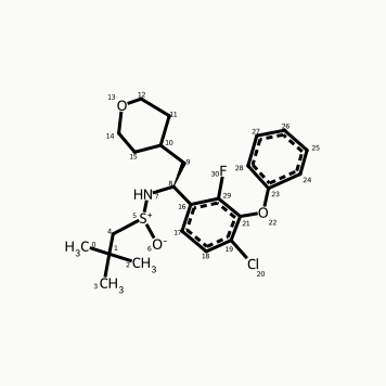 CC(C)(C)C[S+]([O-])N[C@@H](CC1CCOCC1)c1ccc(Cl)c(Oc2ccccc2)c1F